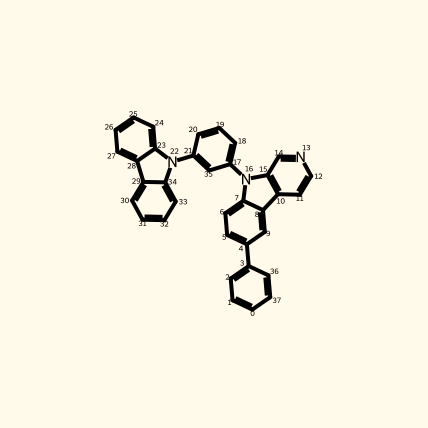 c1ccc(-c2ccc3c(c2)c2ccncc2n3-c2cccc(-n3c4ccccc4c4ccccc43)c2)cc1